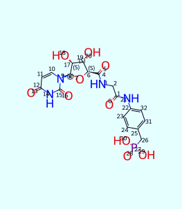 O=C(CNC(=O)[C@H]1O[C@@H](n2ccc(=O)[nH]c2=O)[C@@H](O)[C@@H]1O)Nc1ccc(CP(=O)(O)O)cc1